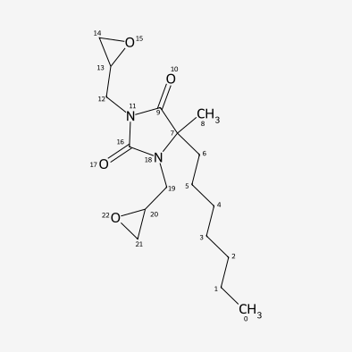 CCCCCCCC1(C)C(=O)N(CC2CO2)C(=O)N1CC1CO1